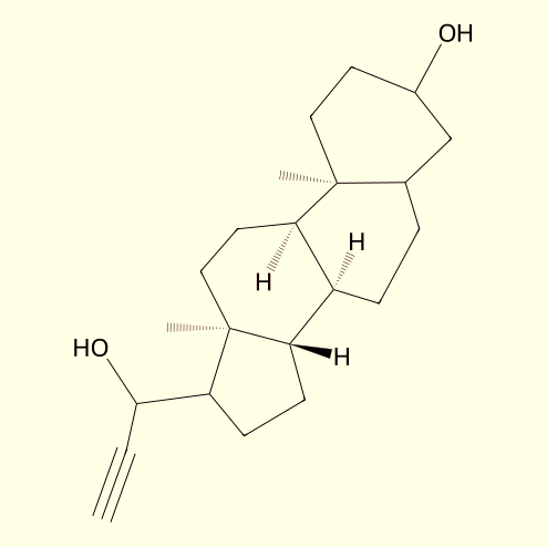 C#CC(O)C1CC[C@H]2[C@@H]3CCC4CC(O)CC[C@]4(C)[C@@H]3CC[C@]12C